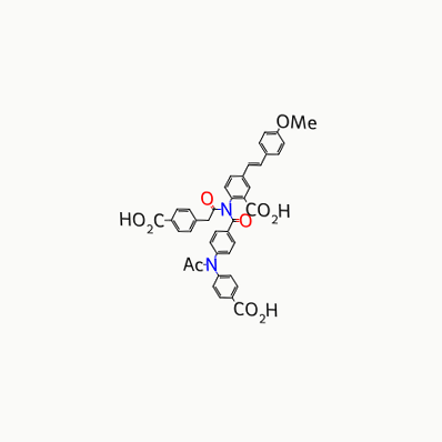 COc1ccc(C=Cc2ccc(N(C(=O)Cc3ccc(C(=O)O)cc3)C(=O)c3ccc(N(C(C)=O)c4ccc(C(=O)O)cc4)cc3)c(C(=O)O)c2)cc1